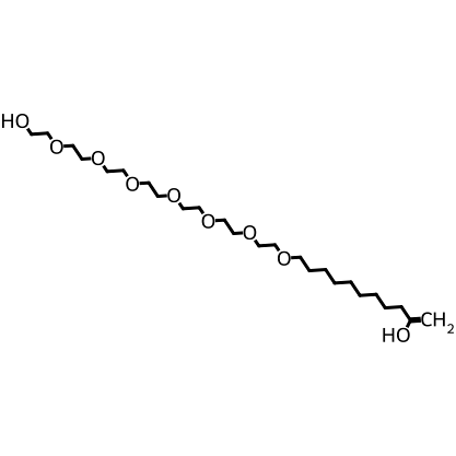 C=C(O)CCCCCCCCCOCCOCCOCCOCCOCCOCCOCCO